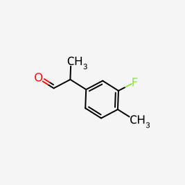 Cc1ccc(C(C)C=O)cc1F